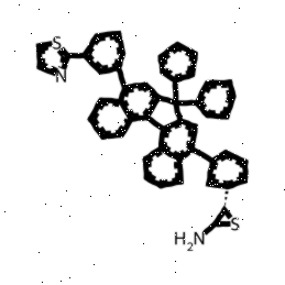 NC1S[C@H]1c1cccc(-c2cc3c(c4ccccc24)-c2c(cc(-c4cccc(-c5nccs5)c4)c4ccccc24)C3(c2ccccc2)c2ccccc2)c1